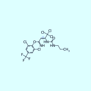 CCCNC(=O)N/C(=C\C(=N)Oc1c(Cl)cc(C(F)(F)F)cc1Cl)C(Cl)(Cl)Cl